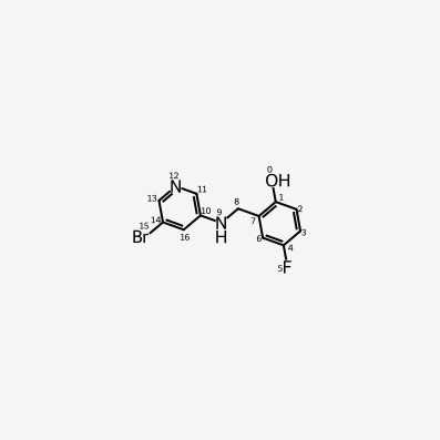 Oc1ccc(F)cc1CNc1cncc(Br)c1